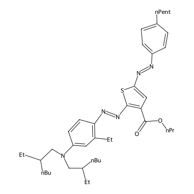 CCCCCc1ccc(N=Nc2cc(C(=O)OCCC)c(N=Nc3ccc(N(CC(CC)CCCC)CC(CC)CCCC)cc3CC)s2)cc1